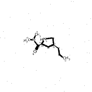 CCC[C@@H]1CN[C@H](C(=O)N(C)C)C1